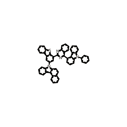 c1ccc(-n2c3ccccc3c3c(-c4nc(-c5cc(-n6c7ccccc7c7c8ccccc8ccc76)cc6c5sc5ccccc56)nc5ccccc45)cccc32)cc1